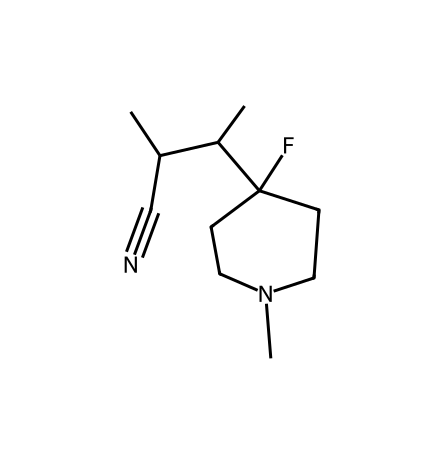 CC(C#N)C(C)C1(F)CCN(C)CC1